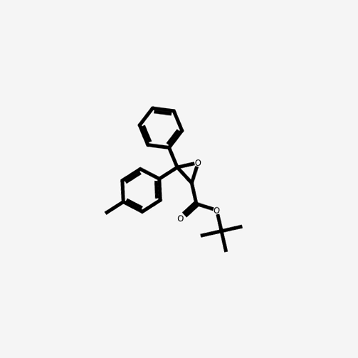 Cc1ccc(C2(c3ccccc3)OC2C(=O)OC(C)(C)C)cc1